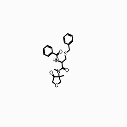 CN(C(=O)C(CSCc1ccccc1)NC(=O)c1ccccc1)C1(C)COCC1=O